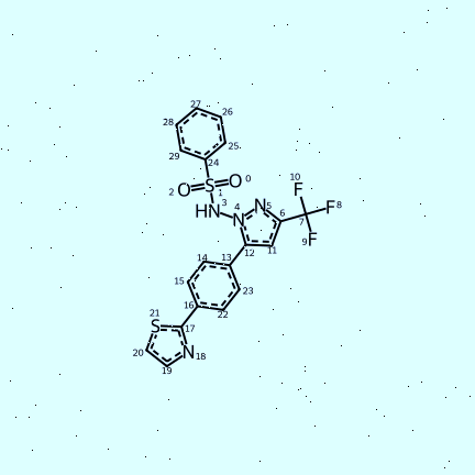 O=S(=O)(Nn1nc(C(F)(F)F)cc1-c1ccc(-c2nccs2)cc1)c1ccccc1